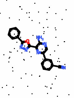 N#Cc1cccc(-c2cnc(N)c(-c3nnc(-c4ccccc4)o3)n2)c1